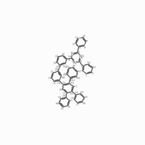 c1ccc(-c2nc(-c3ccccc3)nc(-c3cccc(-c4cccc(-c5cc(-c6ccccc6)c(-c6ccccc6)cc5-c5ccccc5)c4)c3)n2)cc1